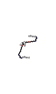 CCCCC/C=C\C/C=C\CCCCCCCCOC(C)C(C(=O)CCCCCCC/C=C\C/C=C\CCCCC)N(C)C